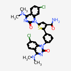 CN(C)c1nc(=O)n(-c2cccc(-c3sc(-n4c(=O)nc(N(C)C)c5ccc(Cl)cc54)cc3C(N)=O)c2)c2cc(Cl)ccc12